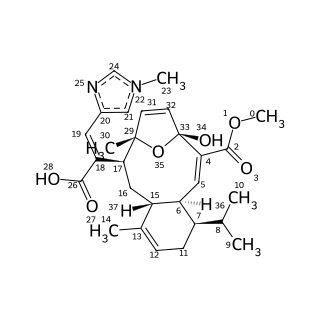 COC(=O)/C1=C/[C@H]2[C@@H](C(C)C)CC=C(C)[C@@H]2C[C@@H](/C(=C\c2cn(C)cn2)C(=O)O)[C@]2(C)C=C[C@@]1(O)O2